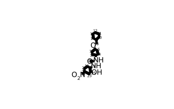 O=C(Nc1ccc(OCc2ccccc2)cc1)Nc1ccc([N+](=O)[O-])cc1O